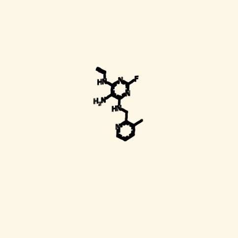 C=CNc1nc(F)nc(NCc2ncccc2C)c1N